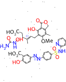 COc1c(C)c2c(c(O)c1C/C=C(\C)CCC(=O)O)C(=O)OC2.NC(=O)NO.O=C(O)c1cc(/N=N/c2ccc(S(=O)(=O)Nc3ccccn3)cc2)ccc1O